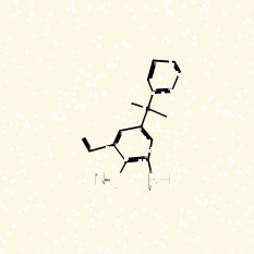 C=Cc1cc(C(C)(C)c2ccccc2)cc(BC)c1ON